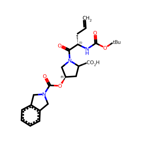 C=CC[C@H](NC(=O)OC(C)(C)C)C(=O)N1C[C@H](OC(=O)N2Cc3ccccc3C2)CC1C(=O)O